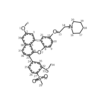 COc1ccc2c(Oc3ccc(OCCN4CCCCC4)cc3)c(-c3ccc(S(C)(=O)=O)c(SC)c3)ccc2c1